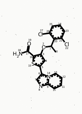 CC(Oc1cc(-c2cnc3ccccn23)sc1C(N)=O)c1c(Cl)cccc1Cl